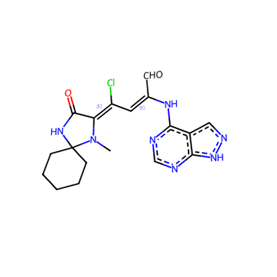 CN1/C(=C(Cl)\C=C(/C=O)Nc2ncnc3[nH]ncc23)C(=O)NC12CCCCC2